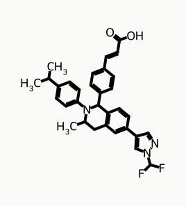 CC(C)c1ccc(N2C(C)Cc3cc(-c4cnn(C(F)F)c4)ccc3C2c2ccc(/C=C/C(=O)O)cc2)cc1